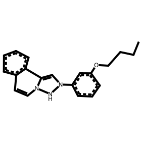 CCCCOc1cccc(N2C=C3c4ccccc4C=CN3N2)c1